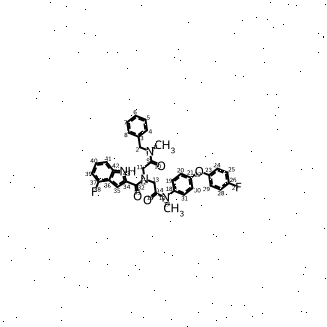 CN(Cc1ccccc1)C(=O)CN(CC(=O)N(C)c1ccc(Oc2ccc(F)cc2)cc1)C(=O)c1cc2c(F)cccc2[nH]1